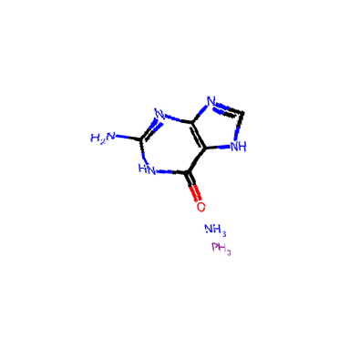 N.Nc1nc2nc[nH]c2c(=O)[nH]1.P